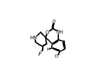 O=C1Nc2ccc(Cl)c(F)c2C2(CNCC(F)C2)O1